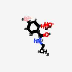 [B+2]c1ccc(C(=O)NCC)cc1.[OH-].[OH-]